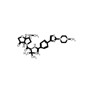 CN[C@H]1CN(C(=O)[C@@H](NC(=O)c2ccc(-c3csc(N4CCN(C)CC4)n3)cc2)C(C)(C)C)[C@@H]2C(=O)CO[C@H]12